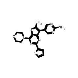 Cc1sc2c(N3CCOCC3)nc(-c3cccs3)nc2c1-c1cnc(N)nc1